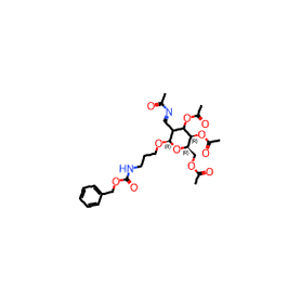 CC(=O)N=CC1C(OC(C)=O)[C@@H](OC(C)=O)[C@@H](COC(C)=O)O[C@H]1OCCCNC(=O)OCc1ccccc1